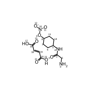 NCC(=O)NC1CCC(O[N+](=O)[O-])CC1.O=C(O)C=CC(=O)O